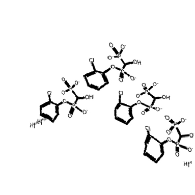 O=P([O-])([O-])C(O)P(=O)([O-])Oc1ccccc1Cl.O=P([O-])([O-])C(O)P(=O)([O-])Oc1ccccc1Cl.O=P([O-])([O-])C(O)P(=O)([O-])Oc1ccccc1Cl.O=P([O-])([O-])C(O)P(=O)([O-])Oc1ccccc1Cl.[Hf+4].[Hf+4].[Hf+4]